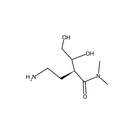 CN(C)C(=O)[C@@H](CCN)C(O)CO